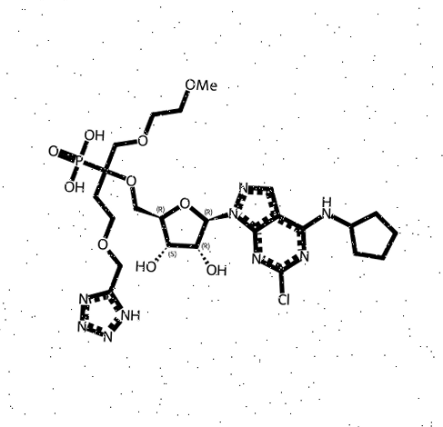 COCCOCC(CCOCc1nnn[nH]1)(OC[C@H]1O[C@@H](n2ncc3c(NC4CCCC4)nc(Cl)nc32)[C@H](O)[C@@H]1O)P(=O)(O)O